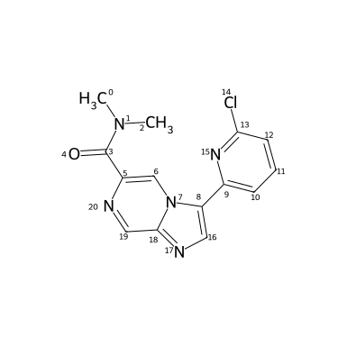 CN(C)C(=O)c1cn2c(-c3cccc(Cl)n3)cnc2cn1